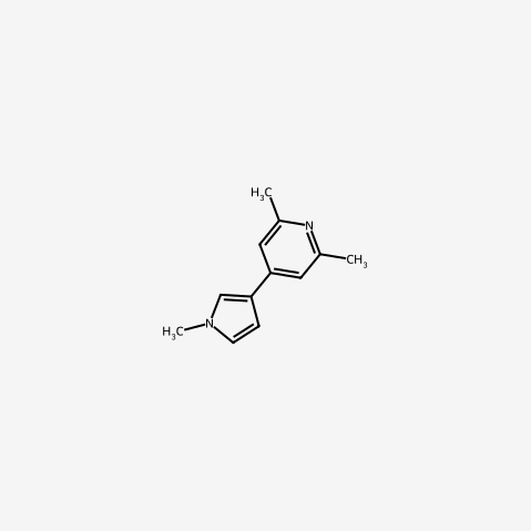 Cc1cc(-c2ccn(C)c2)cc(C)n1